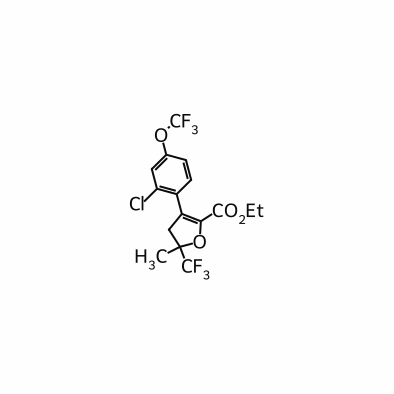 CCOC(=O)C1=C(c2ccc(OC(F)(F)F)cc2Cl)CC(C)(C(F)(F)F)O1